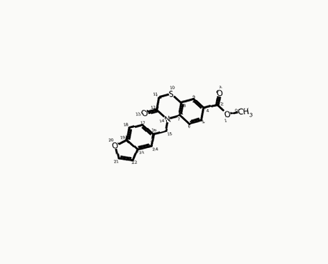 COC(=O)c1ccc2c(c1)SCC(=O)N2Cc1ccc2occc2c1